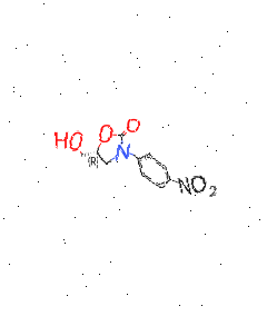 O=C1O[C@@H](CO)CN1c1ccc([N+](=O)[O-])cc1